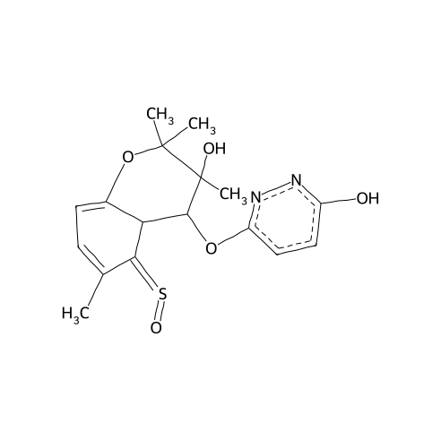 CC1=CC=C2OC(C)(C)C(C)(O)C(Oc3ccc(O)nn3)C2C1=S=O